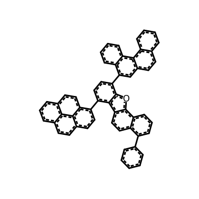 c1ccc(-c2cccc3c2ccc2c3oc3c(-c4cc5ccc6ccccc6c5c5ccccc45)ccc(-c4ccc5ccc6cccc7ccc4c5c67)c32)cc1